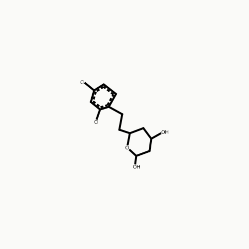 OC1CC(O)OC(CCc2ccc(Cl)cc2Cl)C1